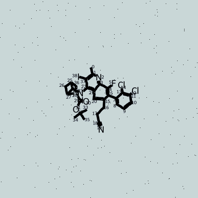 Cc1nc2c(F)c(-c3cccc(Cl)c3Cl)c(CCC#N)cc2c(NC2C3CC2N(C(=O)OC(C)(C)C)C3)c1I